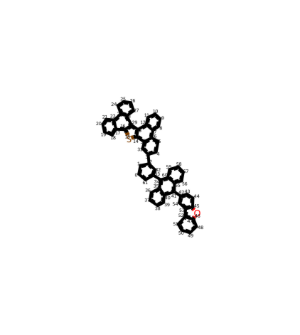 c1cc(-c2ccc3c4ccccc4c4c(sc5c6ccccc6c6ccccc6c54)c3c2)cc(-c2c3ccccc3c(-c3ccc4oc5ccccc5c4c3)c3ccccc23)c1